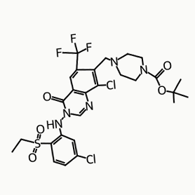 CCS(=O)(=O)c1ccc(Cl)cc1Nn1cnc2c(Cl)c(CN3CCN(C(=O)OC(C)(C)C)CC3)c(C(F)(F)F)cc2c1=O